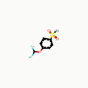 [CH2]CS(=O)(=O)c1ccc(OC(F)F)cc1